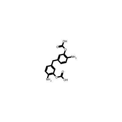 Nc1ccc(Cc2ccc(N)c(OC(=O)O)c2)cc1OC(=O)O